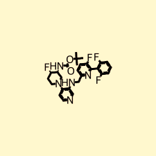 CC(C)(C)OC(=O)N[C@@H]1CN(c2ccncc2NCc2ccc(F)c(-c3c(F)cccc3F)n2)CC[C@H]1F